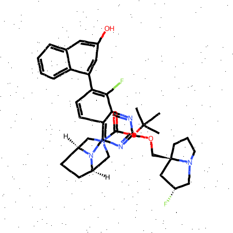 CC(C)(C)OC(=O)N1C[C@H]2CC[C@@H](C1)N2c1nc(OC[C@@]23CCCN2C[C@H](F)C3)nc2c(F)c(-c3cc(O)cc4ccccc34)ccc12